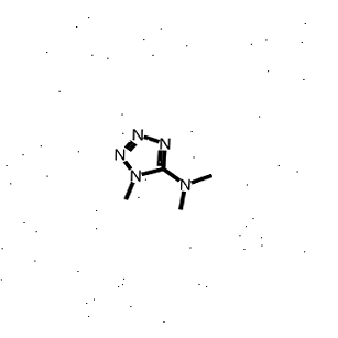 CN(C)c1nnnn1C